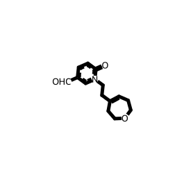 O=Cc1ccc(=O)n(CCC2=CCCOCC2)c1